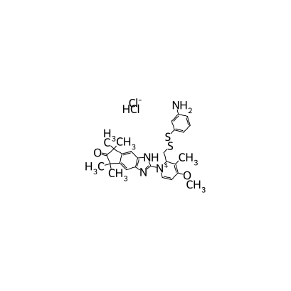 COc1cc[n+](-c2nc3cc4c(cc3[nH]2)C(C)(C)C(=O)C4(C)C)c(CSSc2cccc(N)c2)c1C.Cl.[Cl-]